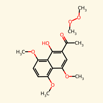 COOC.COc1ccc(OC)c2c(O)c(C(C)=O)cc(OC)c12